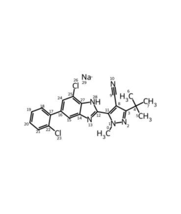 Cn1nc(C(C)(C)C)c(C#N)c1-c1nc2cc(-c3ccccc3Cl)cc(Cl)c2[nH]1.[Na]